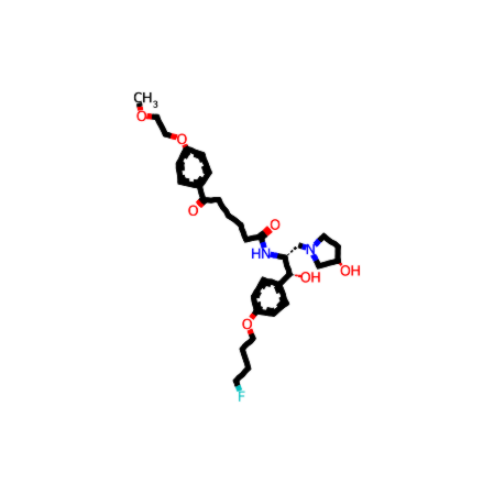 COCCOc1ccc(C(=O)CCCCC(=O)N[C@H](CN2CC[C@H](O)C2)[C@H](O)c2ccc(OCCCCF)cc2)cc1